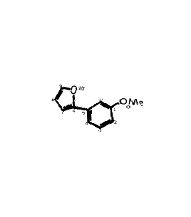 COc1cccc(-c2ccco2)c1